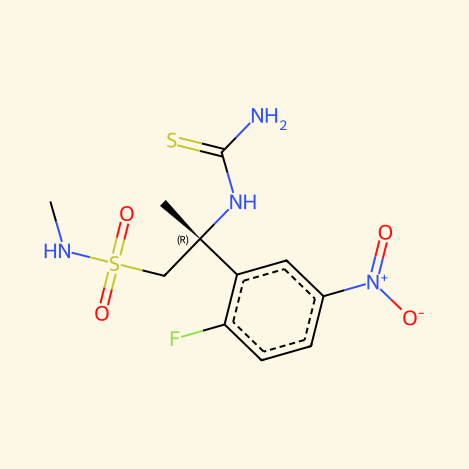 CNS(=O)(=O)C[C@](C)(NC(N)=S)c1cc([N+](=O)[O-])ccc1F